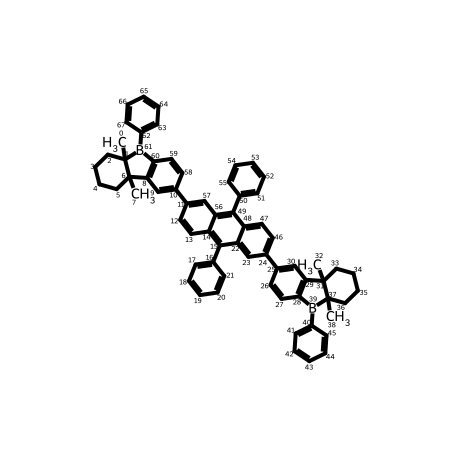 CC12CCCCC1(C)c1cc(-c3ccc4c(-c5ccccc5)c5cc(-c6ccc7c(c6)C6(C)CCCCC6(C)B7c6ccccc6)ccc5c(-c5ccccc5)c4c3)ccc1B2c1ccccc1